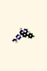 C=CC(=O)N1CCN(c2cc(=O)n3c4c(c(-c5ccc(F)cc5F)ccc24)CCC3)CC1